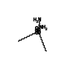 CCCCCCCCCCCCCCOP(=O)(OCCCCCCCCCCCCCC)OC(=O)[C@@H](N)CCCCN